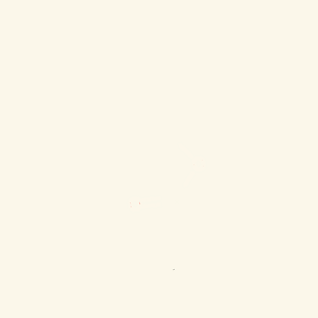 CC1CCC(OC(=O)CC(C)(C)C)CC1